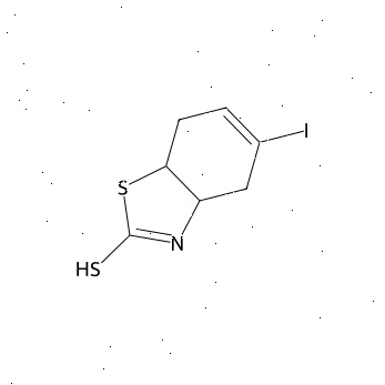 SC1=NC2CC(I)=CCC2S1